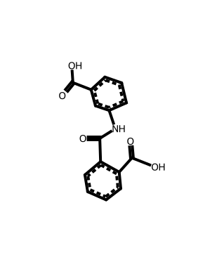 O=C(O)c1cccc(NC(=O)c2ccccc2C(=O)O)c1